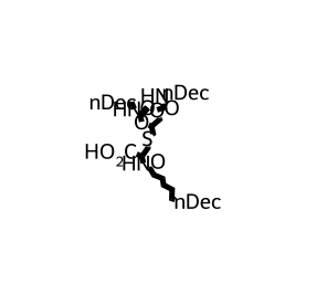 CCCCCCCCCCCCCCCC(=O)NC(CSCC(COC(=O)NCCCCCCCCCC)OC(=O)NCCCCCCCCCC)C(=O)O